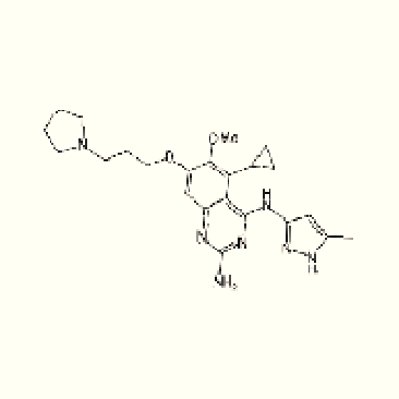 COc1c(OCCCN2CCCC2)cc2nc(N)nc(Nc3cc(C)[nH]n3)c2c1C1CC1